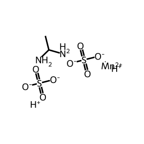 CC(N)N.O=S(=O)([O-])[O-].O=S(=O)([O-])[O-].[H+].[H+].[Mn+2]